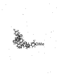 COc1ccc(C23CCC(CN(c4cc(-c5coc(C(C)(C)C)n5)ccn4)C(=O)[C@H]4CC[C@H](OC(=O)N5CCC(C)CC5)CC4)(CC2)CC3)cc1C